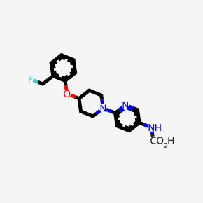 O=C(O)Nc1ccc(N2CCC(Oc3ccccc3CF)CC2)nc1